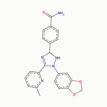 Cc1cccc(C2=NC(c3ccc(C(N)=O)cc3)NN2c2ccc3c(c2)OCO3)n1